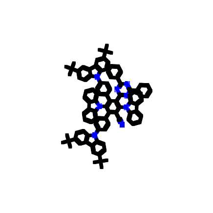 CC(C)(C)c1ccc2c(c1)c1cc(C(C)(C)C)ccc1n2-c1ccc(-c2c(C#N)c(-n3c4ccccc4c4ccccc43)c(-c3nc(-c4ccccc4)nc(-c4ccccc4)n3)c(-c3ccc(-n4c5ccc(C(C)(C)C)cc5c5cc(C(C)(C)C)ccc54)cc3)c2-n2c3ccccc3c3ccccc32)cc1